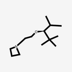 CC(C)[C@H](OCCN1CCC1)C(C)(C)C